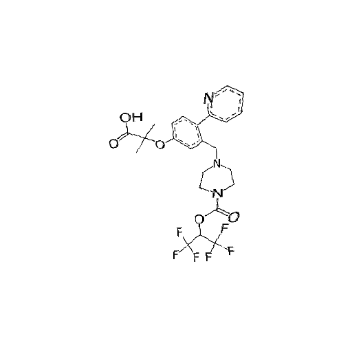 CC(C)(Oc1ccc(-c2ccccn2)c(CN2CCN(C(=O)OC(C(F)(F)F)C(F)(F)F)CC2)c1)C(=O)O